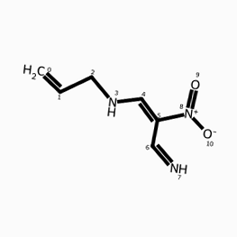 C=CCN/C=C(\C=N)[N+](=O)[O-]